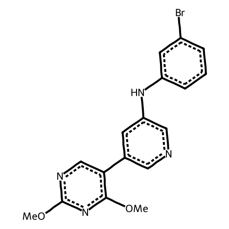 COc1ncc(-c2cncc(Nc3cccc(Br)c3)c2)c(OC)n1